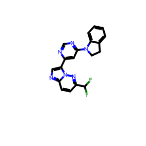 FC(F)c1ccc2ncc(-c3cc(N4CCc5ccccc54)ncn3)n2n1